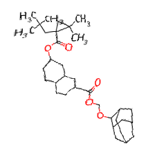 CC(C)(C)CC1(C(=O)OC2CCC3CCC(C(=O)OCOC4C5CC6CC(C5)CC4C6)CC3C2)CC1(C)C